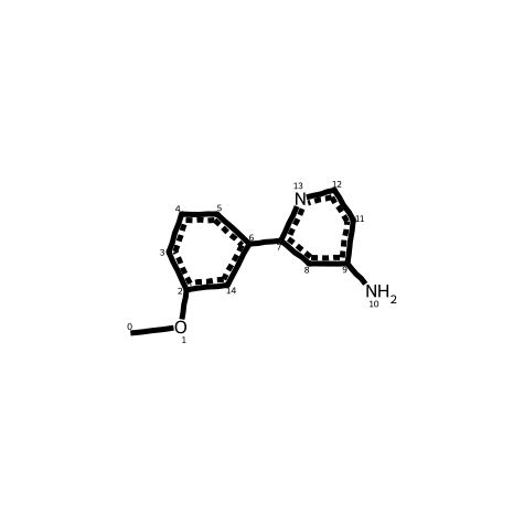 COc1cccc(-c2cc(N)ccn2)c1